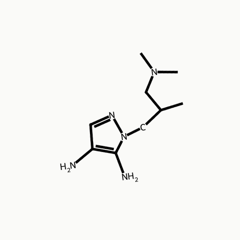 CC(CN(C)C)Cn1ncc(N)c1N